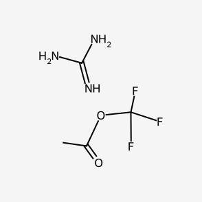 CC(=O)OC(F)(F)F.N=C(N)N